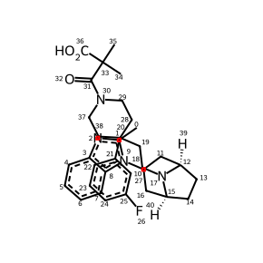 Cc1nc2ccccc2n1C1C[C@H]2CC[C@@H](C1)N2CCC1(c2cccc(F)c2)CCN(C(=O)C(C)(C)C(=O)O)CC1